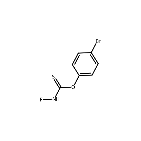 FNC(=S)Oc1ccc(Br)cc1